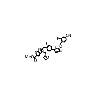 COC(=O)c1cc2c(nc(Cc3ccc(-c4ccc(F)c(OCc5ccc(C#N)cc5F)n4)cc3F)n2C[C@@H]2CCO2)s1